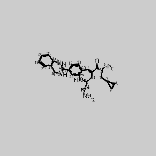 CCCN(CC1CC1)C(=O)C1=Cc2ccc(C3NCC4C=CC=CC4N3)cc2NC(N=NN)C1